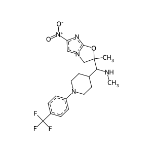 CNC(C1CCN(c2ccc(C(F)(F)F)cc2)CC1)C1(C)Cn2cc([N+](=O)[O-])nc2O1